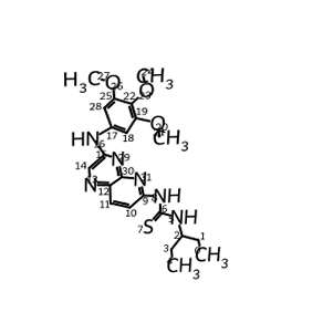 CCC(CC)NC(=S)Nc1ccc2ncc(Nc3cc(OC)c(OC)c(OC)c3)nc2n1